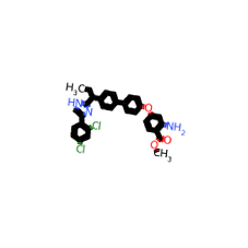 CCC(c1ccc(-c2ccc(Oc3ccc(C(=O)OC)c(N)c3)cc2)cc1)c1nc(-c2ccc(Cl)cc2Cl)c[nH]1